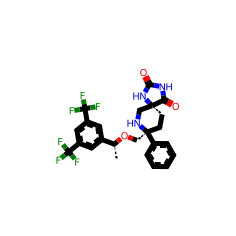 C[C@@H](OC[C@@]1(c2ccccc2)CC[C@]2(CN1)NC(=O)NC2=O)c1cc(C(F)(F)F)cc(C(F)(F)F)c1